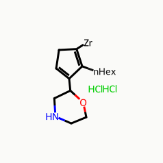 CCCCCCC1=[C]([Zr])CC=C1C1CNCCO1.Cl.Cl